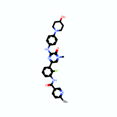 Cn1cc(-c2cccc(NC(=O)c3ccc(C(C)(C)C)nc3)c2F)nc(Nc2ccc(N3CCC(O)CC3)cc2)c1=O